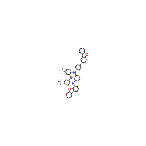 CC(C)(C)c1ccc2c(c1)B1c3cc(C(C)(C)C)ccc3N(c3cccc4c3oc3ccccc34)c3cccc(c31)N2c1ccc(-c2ccc3oc4ccccc4c3c2)cc1